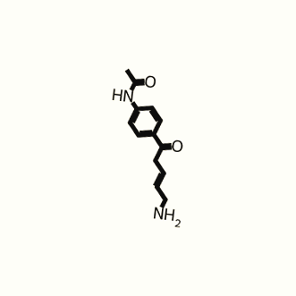 CC(=O)Nc1ccc(C(=O)CC=CCN)cc1